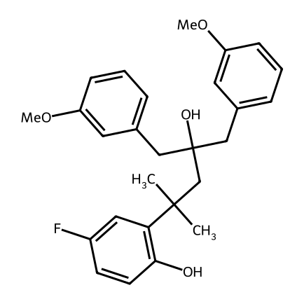 COc1cccc(CC(O)(Cc2cccc(OC)c2)CC(C)(C)c2cc(F)ccc2O)c1